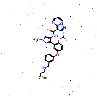 COCCNCc1cccc(Oc2ccc(OC(F)F)c(-c3nn(C)cc3NC(=O)c3cnn4cccnc34)c2)c1